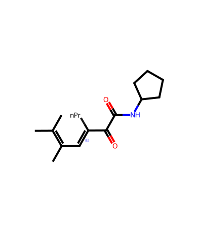 CCC/C(=C\C(C)=C(C)C)C(=O)C(=O)NC1CCCC1